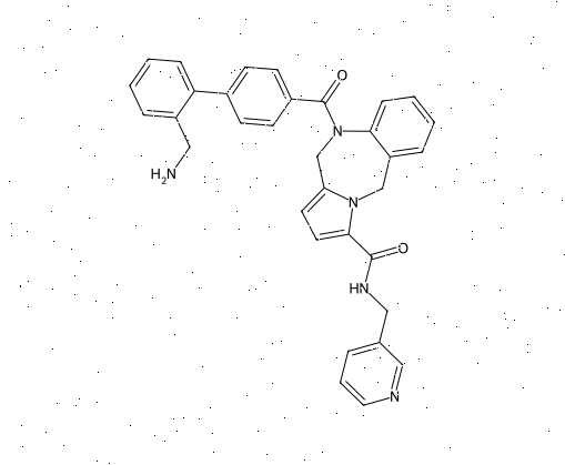 NCc1ccccc1-c1ccc(C(=O)N2Cc3ccc(C(=O)NCc4cccnc4)n3Cc3ccccc32)cc1